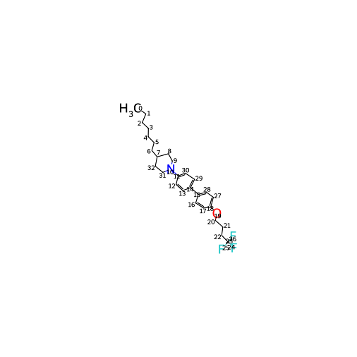 CCCCCCCC1CCN(c2ccc(-c3ccc(OCCCC(F)(F)F)cc3)cc2)CC1